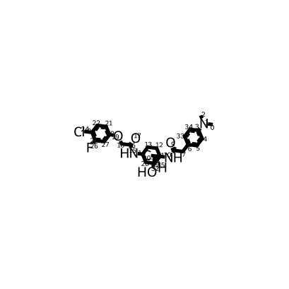 CN(C)c1ccc(CC(=O)NC23CCC(NC(=O)COc4ccc(Cl)c(F)c4)(CC2)C[C@@H]3O)cc1